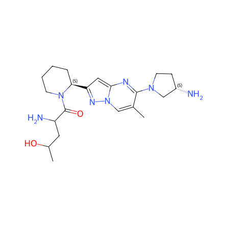 Cc1cn2nc([C@@H]3CCCCN3C(=O)C(N)CC(C)O)cc2nc1N1CC[C@H](N)C1